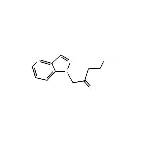 C=C(CCC(=O)O)Cn1ncc2ncccc21